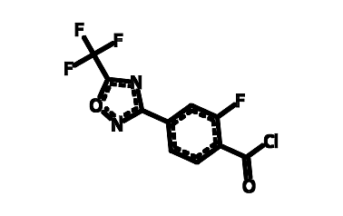 O=C(Cl)c1ccc(-c2noc(C(F)(F)F)n2)cc1F